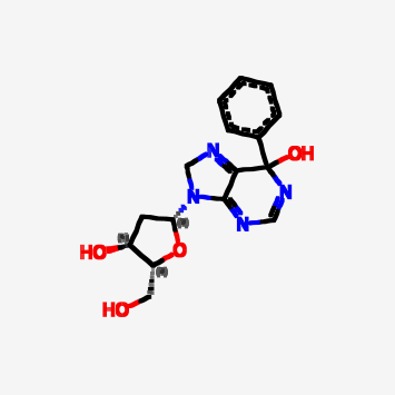 OC[C@H]1O[C@@H](N2CN=C3C2=NC=NC3(O)c2ccccc2)C[C@@H]1O